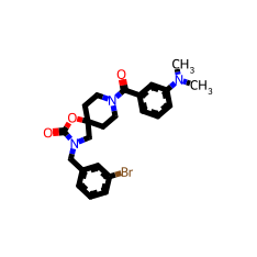 CN(C)c1cccc(C(=O)N2CCC3(CC2)CN(Cc2cccc(Br)c2)C(=O)O3)c1